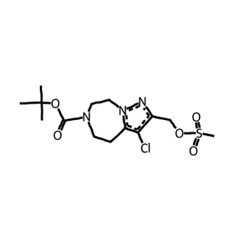 CC(C)(C)OC(=O)N1CCc2c(Cl)c(COS(C)(=O)=O)nn2CC1